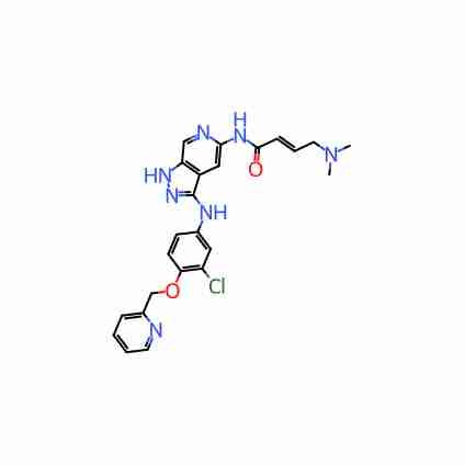 CN(C)C/C=C/C(=O)Nc1cc2c(Nc3ccc(OCc4ccccn4)c(Cl)c3)n[nH]c2cn1